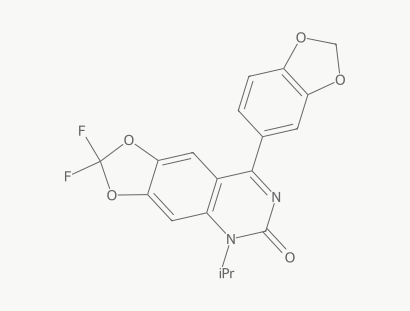 CC(C)n1c(=O)nc(-c2ccc3c(c2)OCO3)c2cc3c(cc21)OC(F)(F)O3